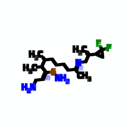 C=C(C/N=C(\C)CCCCC(C)C(C)/C(=C\CN)SN)C1CC1(F)F